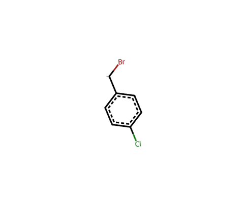 Clc1ccc([CH]Br)cc1